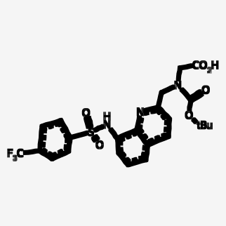 CC(C)(C)OC(=O)N(CC(=O)O)Cc1ccc2cccc(NS(=O)(=O)c3ccc(C(F)(F)F)cc3)c2n1